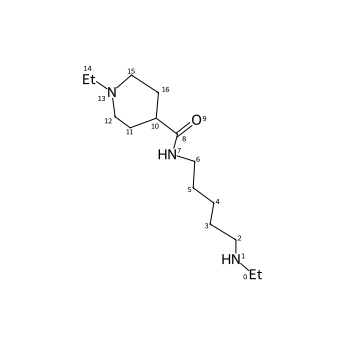 CCNCCCCCNC(=O)C1CCN(CC)CC1